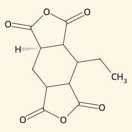 CCC1C2C(=O)OC(=O)C2C[C@H]2C(=O)OC(=O)C12